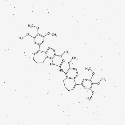 COc1ccc2c(c1NC(=O)Nc1c(OC)ccc3c1CCCC=C3c1cc(OC)c(OC)c(OC)c1)CCCC=C2c1cc(OC)c(OC)c(OC)c1